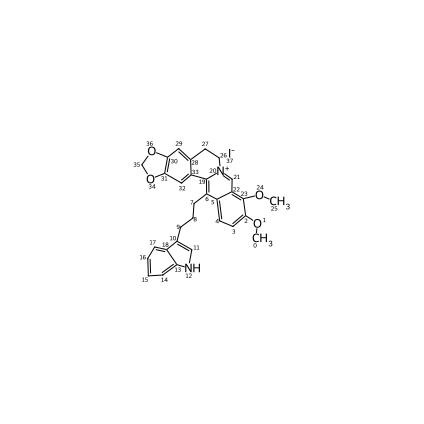 COc1ccc2c(CCCc3c[nH]c4ccccc34)c3[n+](cc2c1OC)CCc1cc2c(cc1-3)OCO2.[I-]